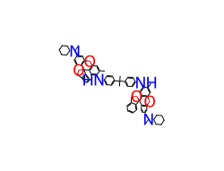 Cc1cc2c(cc1Nc1ccc(C(C)(C)c3ccc(Nc4cc5c(cc4C)Oc4cc(N(C)C6CCCCC6)ccc4C54OCc5ccccc54)cc3)cc1)C1(OCc3ccccc31)c1ccc(N(C)C3CCCCC3)cc1O2